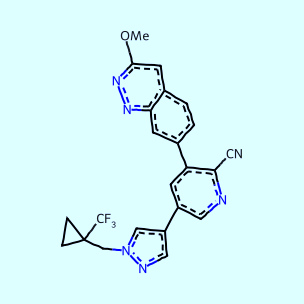 COc1cc2ccc(-c3cc(-c4cnn(CC5(C(F)(F)F)CC5)c4)cnc3C#N)cc2nn1